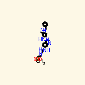 CS(=O)(=O)CCNCCNc1ccc2c(Nc3ccc4c(cnn4Cc4ccccc4)c3)ncnc2c1